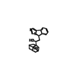 OC(CC1c2ccccc2-c2cncn21)C12CC3CC(C1)NC(C3)C2